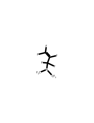 FC(F)=C(F)C(F)(F)N(C(F)(F)F)C(F)(F)F